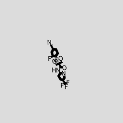 CC(C)(C(=O)Nc1ccc(C(F)(F)F)cn1)S(=O)(=O)c1ccc(C#N)cc1F